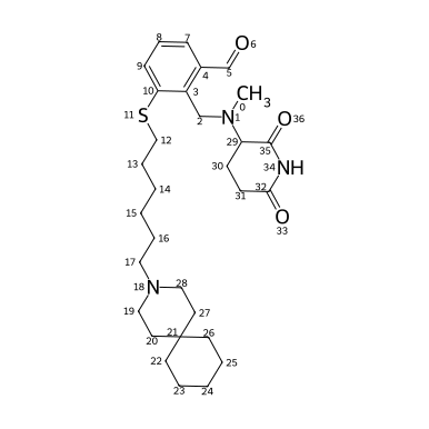 CN(Cc1c(C=O)cccc1SCCCCCCN1CCC2(CCCCC2)CC1)C1CCC(=O)NC1=O